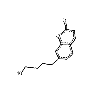 O=c1ccc2ccc(CCCCO)cc2o1